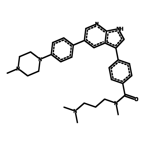 CN(C)CCCN(C)C(=O)c1ccc(-c2c[nH]c3ncc(-c4ccc(N5CCN(C)CC5)cc4)cc23)cc1